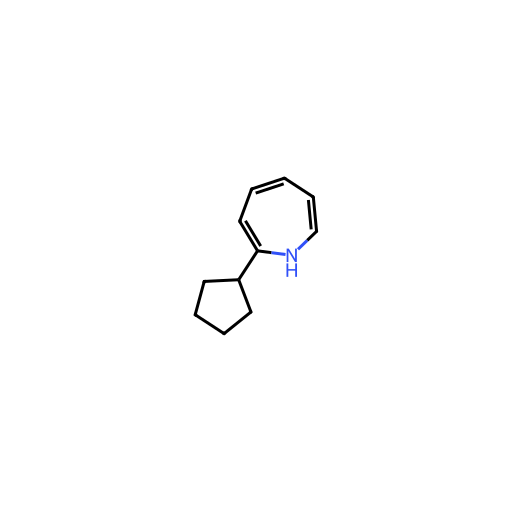 C1=CC=C(C2CCCC2)NC=C1